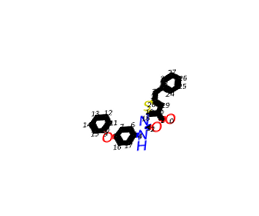 O=c1oc(Nc2ccc(Oc3ccccc3)cc2)nc2sc(Cc3ccccc3)cc12